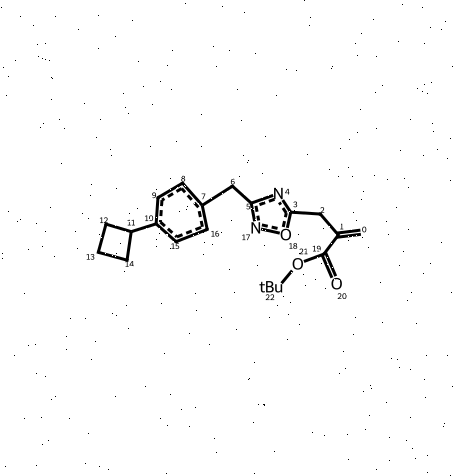 C=C(Cc1nc(Cc2ccc(C3CCC3)cc2)no1)C(=O)OC(C)(C)C